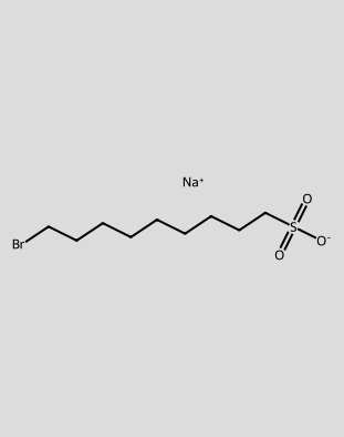 O=S(=O)([O-])CCCCCCCCCBr.[Na+]